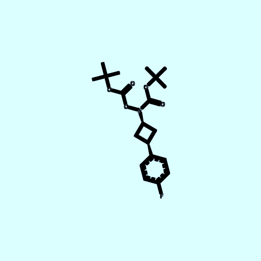 CC(C)(C)OC(=O)ON(C(=O)OC(C)(C)C)[C@H]1C[C@@H](c2ccc(F)cc2)C1